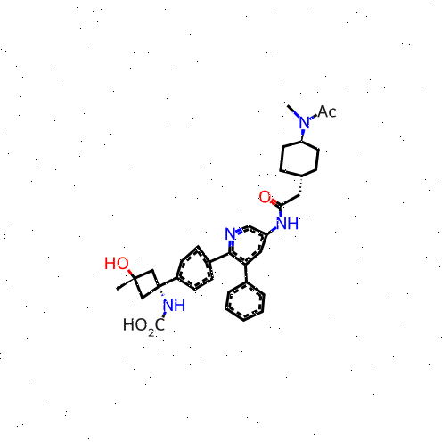 CC(=O)N(C)[C@H]1CC[C@H](CC(=O)Nc2cnc(-c3ccc([C@]4(NC(=O)O)C[C@@](C)(O)C4)cc3)c(-c3ccccc3)c2)CC1